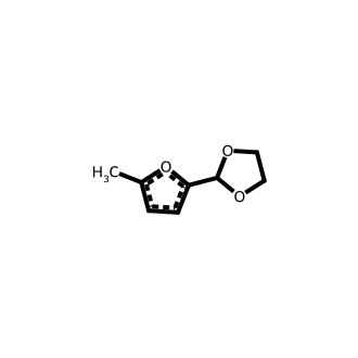 Cc1ccc(C2OCCO2)o1